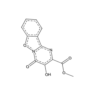 COC(=O)c1nc2c3ccccc3on2c(=O)c1O